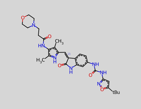 Cc1[nH]c(/C=C2\C(=O)Nc3cc(NC(=O)Nc4cc(C(C)(C)C)on4)ccc32)c(C)c1NC(=O)CCN1CCOCC1